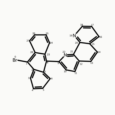 Brc1c2ccccc2c(-c2ccc3ccc4cccnc4c3n2)c2ccccc12